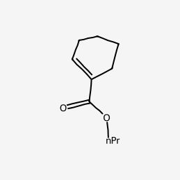 CCCOC(=O)C1=CCCCC1